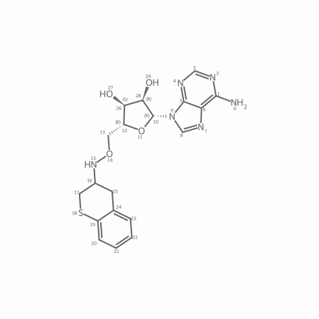 Nc1ncnc2c1ncn2[C@@H]1O[C@H](CONC2CSc3ccccc3C2)[C@@H](O)[C@H]1O